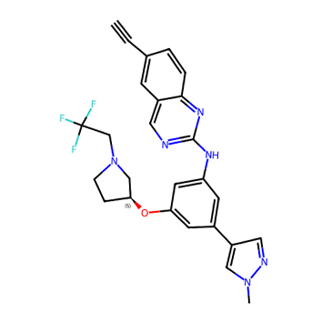 C#Cc1ccc2nc(Nc3cc(O[C@H]4CCN(CC(F)(F)F)C4)cc(-c4cnn(C)c4)c3)ncc2c1